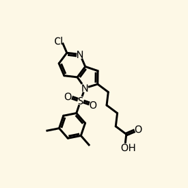 Cc1cc(C)cc(S(=O)(=O)n2c(CCCCC(=O)O)cc3nc(Cl)ccc32)c1